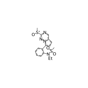 CCN(c1ccccc1-c1ccc2cnc([S+](C)[O-])nn12)S(C)(=O)=O